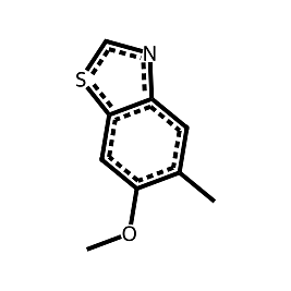 COc1cc2scnc2cc1C